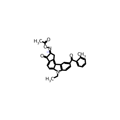 CCn1c2ccc(C(=O)c3ccccc3C)cc2c2c3c(ccc21)C(=O)/C(=N\OC(C)=O)C3